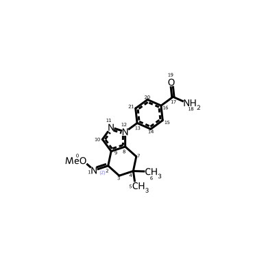 CO/N=C1/CC(C)(C)Cc2c1cnn2-c1ccc(C(N)=O)cc1